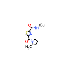 C[C@H]1CCCN1C(=O)c1csc(C(=O)NCC(C)(C)C)n1